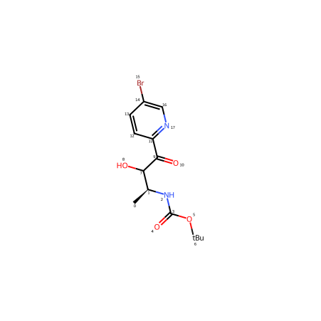 C[C@H](NC(=O)OC(C)(C)C)C(O)C(=O)c1ccc(Br)cn1